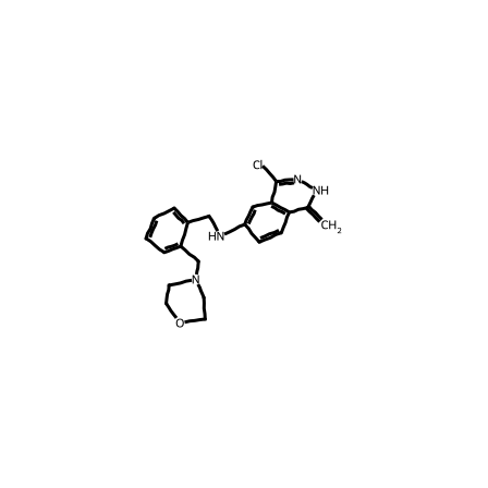 C=C1NN=C(Cl)c2cc(NCc3ccccc3CN3CCOCC3)ccc21